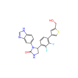 O=C1NCC(c2ccc(-c3csc(CO)c3)c(F)c2F)N1c1ccc2[nH]cnc2c1